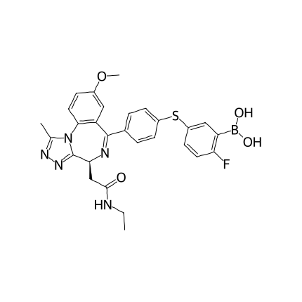 CCNC(=O)C[C@@H]1N=C(c2ccc(Sc3ccc(F)c(B(O)O)c3)cc2)c2cc(OC)ccc2-n2c(C)nnc21